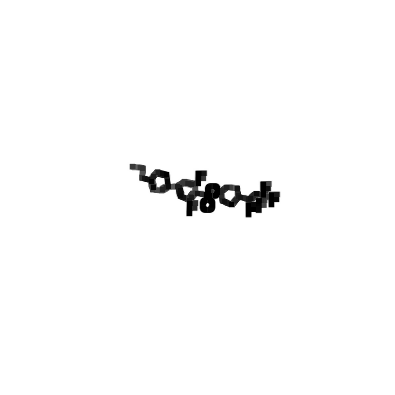 CCCc1ccc(-c2cc(F)c(C(=O)OC3CCC(/C(F)=C/C(F)(F)F)CC3)c(F)c2)cc1